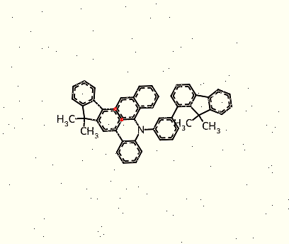 CC1(C)c2ccccc2-c2ccc(-c3ccccc3N(c3cccc(-c4cccc5c4C(C)(C)c4ccccc4-5)c3)c3cccc4ccccc34)cc21